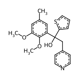 COc1cc(C)cc(C(O)(Cc2ccncc2)c2cccs2)c1OC